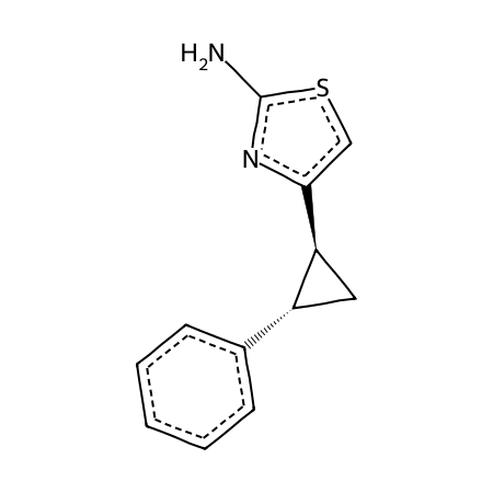 Nc1nc([C@H]2C[C@@H]2c2ccccc2)cs1